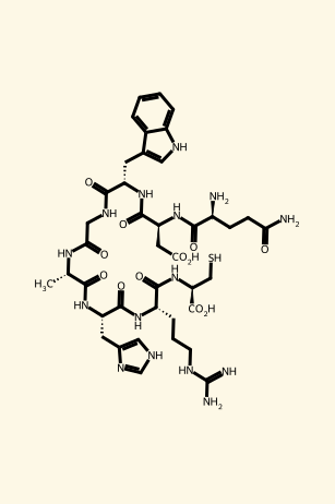 C[C@H](NC(=O)CNC(=O)[C@H](Cc1c[nH]c2ccccc12)NC(=O)[C@H](CC(=O)O)NC(=O)[C@@H](N)CCC(N)=O)C(=O)N[C@@H](Cc1c[nH]cn1)C(=O)N[C@@H](CCCNC(=N)N)C(=O)N[C@@H](CS)C(=O)O